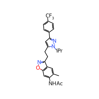 CC(=O)Nc1cc2onc(CCc3cc(-c4ccc(C(F)(F)F)cc4)nn3C(C)C)c2cc1C